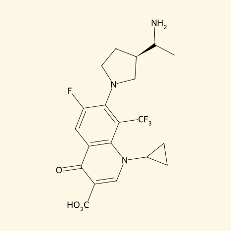 CC(N)[C@@H]1CCN(c2c(F)cc3c(=O)c(C(=O)O)cn(C4CC4)c3c2C(F)(F)F)C1